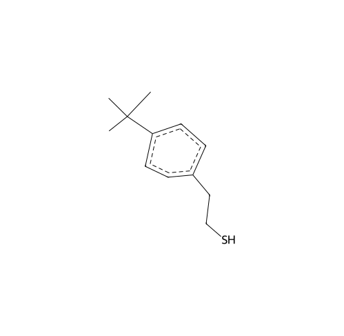 CC(C)(C)c1ccc(CCS)cc1